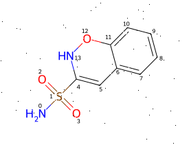 NS(=O)(=O)C1=Cc2ccccc2ON1